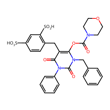 O=C(Oc1c(Cc2ccc(S(=O)(=O)O)cc2S(=O)(=O)O)c(=O)n(-c2ccccc2)c(=O)n1Cc1ccccc1)N1CCOCC1